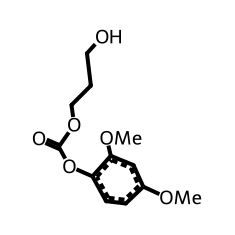 COc1ccc(OC(=O)OCCCO)c(OC)c1